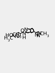 Cn1cc(-c2ccc3cnc(NC(=O)C4CCN(CC(C)(C)O)CC4)cc3c2)nn1